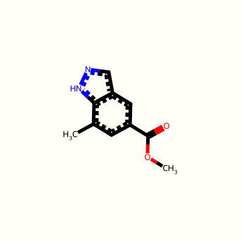 COC(=O)c1cc(C)c2[nH]ncc2c1